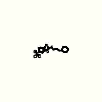 O=S(=O)(Cl)c1ccc2nc(SCCCC3CCCCC3)sc2c1